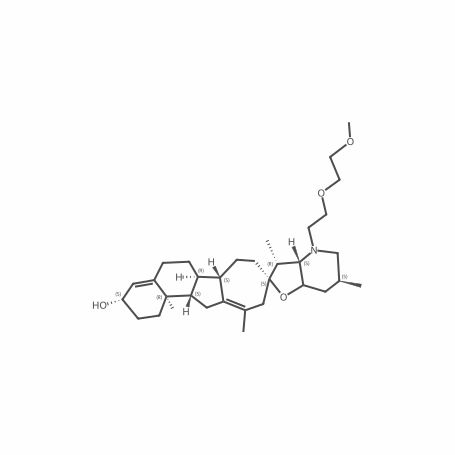 COCCOCCN1C[C@@H](C)CC2O[C@]3(CC[C@@H]4C(=C(C)C3)C[C@H]3[C@H]4CCC4=C[C@@H](O)CC[C@@]43C)[C@H](C)[C@@H]21